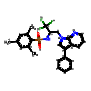 Cc1cc(C)c(S(=O)(=O)NC(Cn2cc(-c3ccccc3)c3cccnc32)C(F)(F)F)c(C)c1